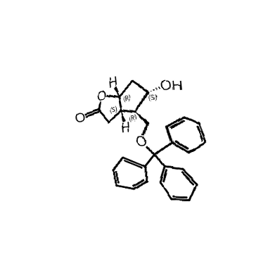 O=C1C[C@H]2[C@H](COC(c3ccccc3)(c3ccccc3)c3ccccc3)[C@@H](O)C[C@H]2O1